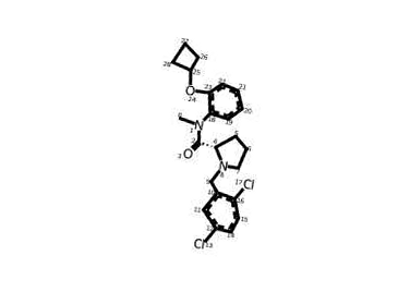 CN(C(=O)[C@@H]1CCCN1Cc1cc(Cl)ccc1Cl)c1ccccc1OC1CCC1